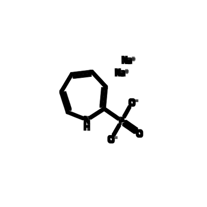 O=P([O-])([O-])C1=CC=CC=CN1.[Na+].[Na+]